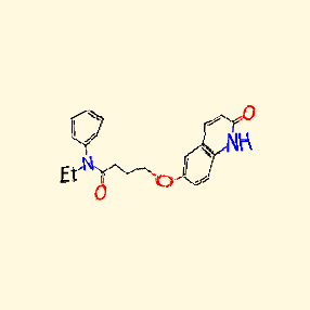 CCN(C(=O)CCCOc1ccc2[nH]c(=O)ccc2c1)c1ccccc1